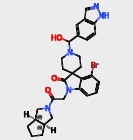 O=C(CN1C(=O)C2(CCN(C(O)c3ccc4[nH]ncc4c3)CC2)c2c(Br)cccc21)N1C[C@H]2CCC[C@H]2C1